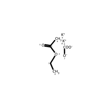 CCOC(C)=O.O=C([O-])[O-].[K+].[K+]